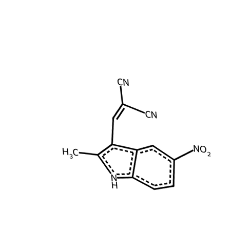 Cc1[nH]c2ccc([N+](=O)[O-])cc2c1C=C(C#N)C#N